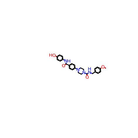 COc1ccc(CNC(=O)N2CCN(c3ccc(C(=O)Nc4ccc(O)cc4)cc3)CC2)cc1